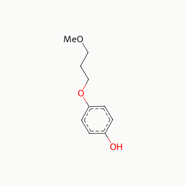 COCCCOc1ccc(O)cc1